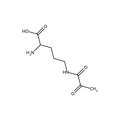 CC(=O)C(=O)NCCCC(N)C(=O)O